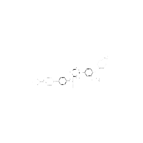 N#Cc1cc(-c2ncnc(Nc3ccc(C4CCN(C5COC5)CC4)cc3)n2)ccc1OC1CC[S+]([O-])CC1